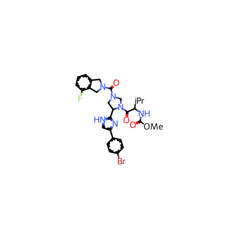 COC(=O)NC(C(=O)N1CN(C(=O)N2Cc3cccc(F)c3C2)CC1c1nc(-c2ccc(Br)cc2)c[nH]1)C(C)C